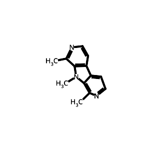 Cc1nccc2c3ccnc(C)c3n(C)c12